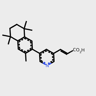 Cc1cc2c(cc1-c1cncc(/C=C/C(=O)O)c1)C(C)(C)CCC2(C)C